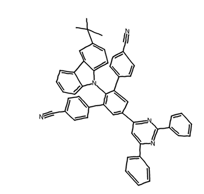 CC(C)(C)c1ccc2c(c1)c1ccccc1n2-c1c(-c2ccc(C#N)cc2)cc(-c2cc(-c3ccccc3)nc(-c3ccccc3)n2)cc1-c1ccc(C#N)cc1